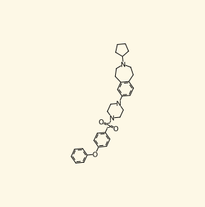 O=S(=O)(c1ccc(Oc2ccccc2)cc1)N1CCN(c2ccc3c(c2)CCN(C2CCCC2)CC3)CC1